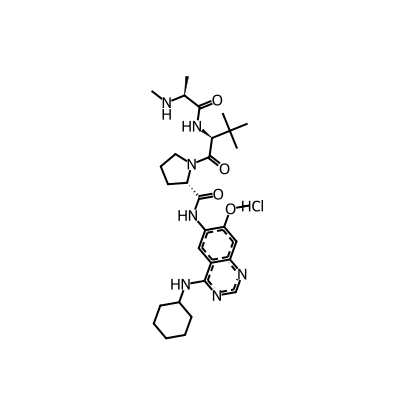 CN[C@@H](C)C(=O)N[C@H](C(=O)N1CCC[C@H]1C(=O)Nc1cc2c(NC3CCCCC3)ncnc2cc1OC)C(C)(C)C.Cl